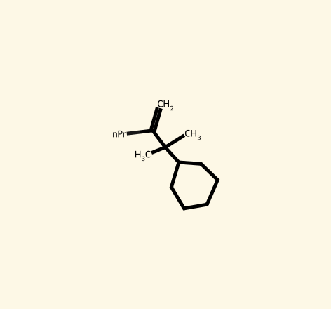 C=C(CCC)C(C)(C)C1CCCCC1